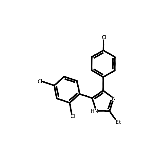 CCc1nc(-c2ccc(Cl)cc2)c(-c2ccc(Cl)cc2Cl)[nH]1